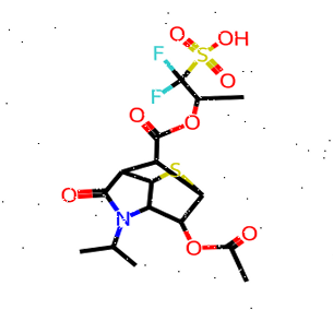 CC(=O)OC1C2SC3C(C(=O)N(C(C)C)C13)C2C(=O)OC(C)C(F)(F)S(=O)(=O)O